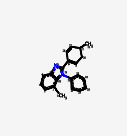 Cc1cccc2nc(C3=CCC(C)C=C3)n(-c3ccccc3)c12